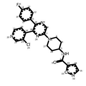 O=C(NC1CCN(c2cnc(-c3ccc(F)cc3)c(-c3ccncc3Cl)n2)CC1)c1ccno1